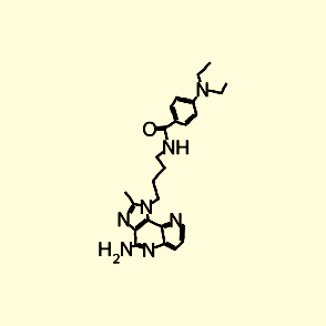 CCN(CC)c1ccc(C(=O)NCCCCn2c(C)nc3c(N)nc4cccnc4c32)cc1